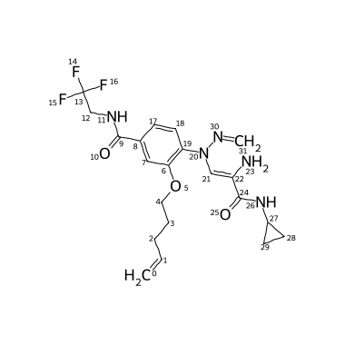 C=CCCCOc1cc(C(=O)NCC(F)(F)F)ccc1N(/C=C(\N)C(=O)NC1CC1)N=C